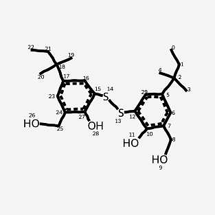 CCC(C)(C)c1cc(CO)c(O)c(SSc2cc(C(C)(C)CC)cc(CO)c2O)c1